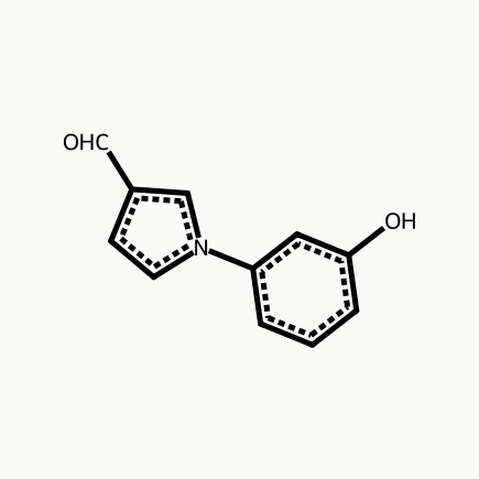 O=Cc1ccn(-c2cccc(O)c2)c1